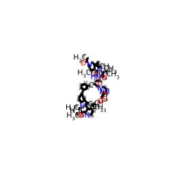 C=CC(=O)N1CC(C)(C)[C@H](C(=O)N(C)[C@H](C(=O)NCC[C@H]2Cc3cccc(c3)-c3ccc4c(c3)c(c(-c3cccnc3[C@H](C)OC)n4CC)CC(C)(C)COC(=O)[C@@H]3CCCN(N3)C2=O)C(C)C)C2(CC2)C1